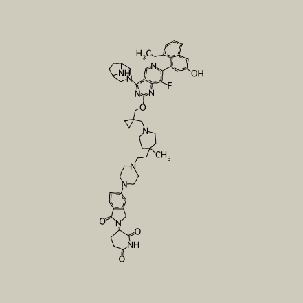 CCc1cccc2cc(O)cc(-c3ncc4c(N5CC6CCC(C5)N6)nc(OCC5(CN6CCC(C)(CCN7CCN(c8ccc9c(c8)CN([C@H]8CCC(=O)NC8=O)C9=O)CC7)CC6)CC5)nc4c3F)c12